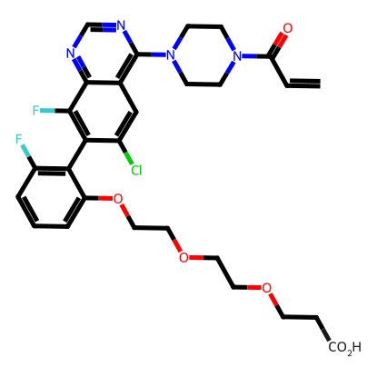 C=CC(=O)N1CCN(c2ncnc3c(F)c(-c4c(F)cccc4OCCOCCOCCC(=O)O)c(Cl)cc23)CC1